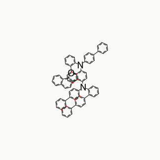 c1ccc(-c2ccc(-c3ccccc3N(c3ccc(-c4ccccc4)cc3)c3ccc(N(c4ccc(-c5ccccc5)cc4)c4ccccc4-c4ccccc4)c4oc5c6ccccc6ccc5c34)cc2)cc1